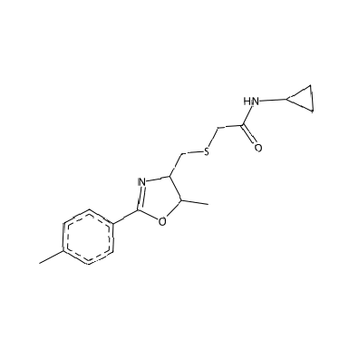 Cc1ccc(C2=NC(CSCC(=O)NC3CC3)C(C)O2)cc1